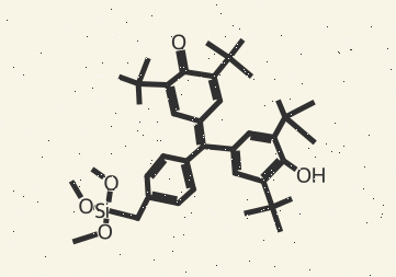 CO[Si](Cc1ccc(C(=C2C=C(C(C)(C)C)C(=O)C(C(C)(C)C)=C2)c2cc(C(C)(C)C)c(O)c(C(C)(C)C)c2)cc1)(OC)OC